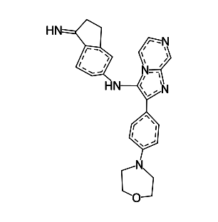 N=C1CCc2cc(Nc3c(-c4ccc(N5CCOCC5)cc4)nc4cnccn34)ccc21